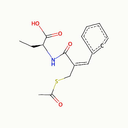 CC[C@H](NC(=O)/C(=C\c1ccccc1)CSC(C)=O)C(=O)O